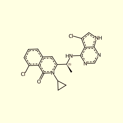 C[C@H](Nc1ncnc2[nH]cc(Cl)c12)c1cc2cccc(Cl)c2c(=O)n1C1CC1